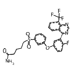 NC(=O)CCCCS(=O)(=O)c1cccc(Oc2ccc(F)c(-c3ncnc4c(C(F)(F)F)cccc34)c2)c1